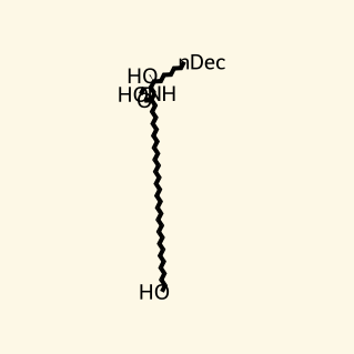 CCCCCCCCCCCCCCC[C@@H](O)[C@H](CO)NC(=O)CCCCCCCCCCCCCCCCCCCCCCCCCCCCCCCO